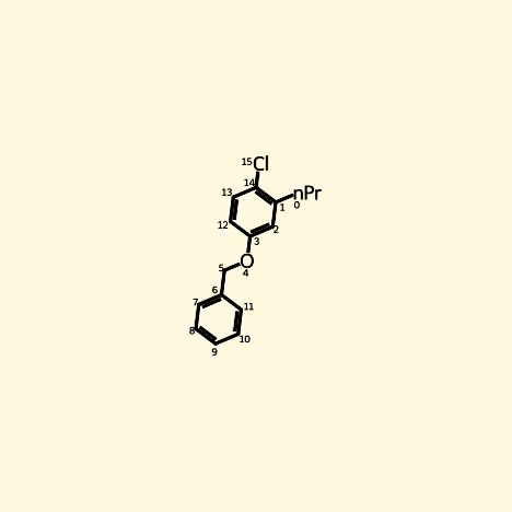 [CH2]CCc1cc(OCc2ccccc2)ccc1Cl